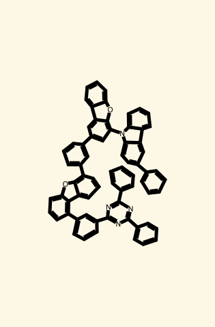 c1ccc(-c2ccc3c(c2)c2ccccc2n3-c2cc(-c3cccc(-c4cccc5c4oc4cccc(-c6cccc(-c7nc(-c8ccccc8)nc(-c8ccccc8)n7)c6)c45)c3)cc3c2oc2ccccc23)cc1